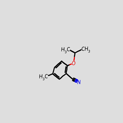 Cc1ccc(OC(C)C)c(C#N)c1